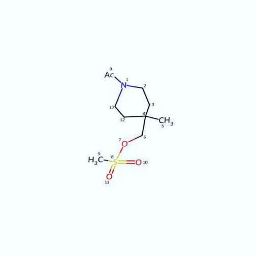 CC(=O)N1CCC(C)(COS(C)(=O)=O)CC1